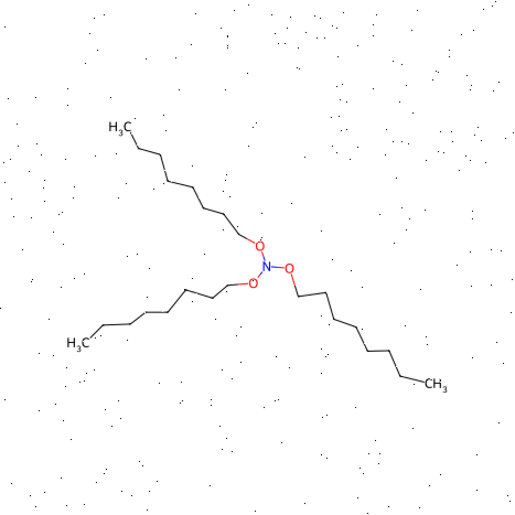 CCCCCCCCON(OCCCCCCCC)OCCCCCCCC